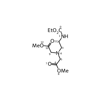 CCOC(=O)NCCN(CC(=O)OC)CC(=O)OC